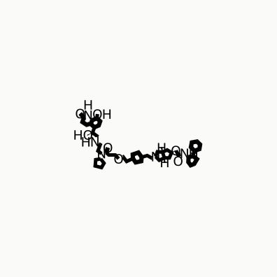 O=C(Nc1ccccc1-c1ccccc1)O[C@@H]1C[C@@H]2CN(CCc3ccc(CCOCCC(=O)N(CCNC[C@H](O)c4ccc(O)c5[nH]c(=O)ccc45)C4CCCC4)cc3)C[C@@H]2C1